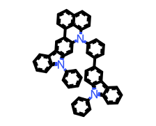 c1ccc(-n2c3ccccc3c3cc(-c4cccc(N5c6cc7c(cc6-c6cccc8cccc5c68)c5ccccc5n7-c5ccccc5)c4)ccc32)cc1